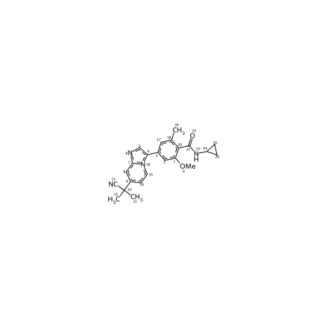 COc1cc(-c2cnc3cc(C(C)(C)C#N)ccn23)cc(C)c1C(=O)NC1CC1